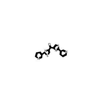 O=C(c1csc(-c2cccnc2)n1)c1csc(-c2cccnc2)n1